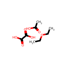 CC(=O)O.CCOCC.O=C(O)C(=O)O